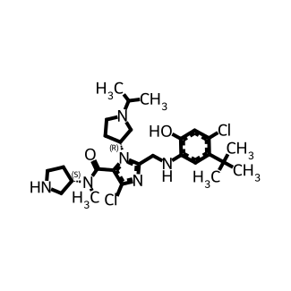 CC(C)N1CC[C@@H](n2c(CNc3cc(C(C)(C)C)c(Cl)cc3O)nc(Cl)c2C(=O)N(C)[C@H]2CCNC2)C1